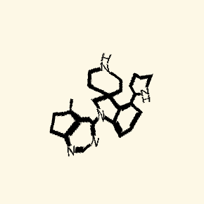 C[C@@H]1CCc2ncnc(N3CC4(CCNCC4)c4c(C5CCCN5)cccc43)c21